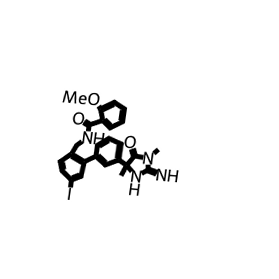 COc1ccccc1C(=O)NCc1ccc(I)cc1-c1cccc(C2(C)NC(=N)N(C)C2=O)c1